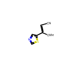 COC(=CC#N)c1cncs1